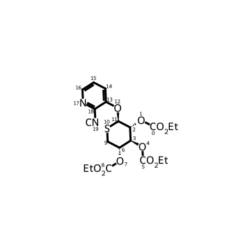 CCOC(=O)O[C@@H]1[C@@H](OC(=O)OCC)[C@H](OC(=O)OCC)CS[C@H]1Oc1cccnc1C#N